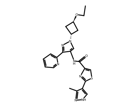 CCO[C@H]1C[C@H](n2cc(NC(=O)c3csc(-c4c[nH]nc4C)n3)c(-c3ccccn3)n2)C1